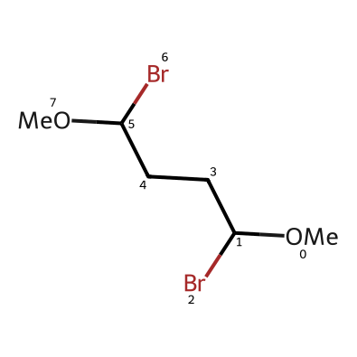 COC(Br)CCC(Br)OC